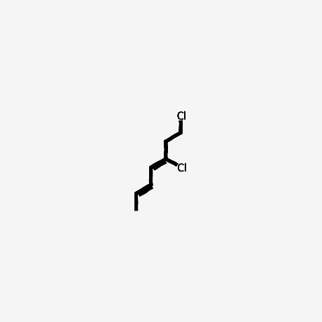 CC=CC=C(Cl)CCCl